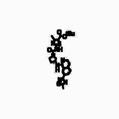 Cc1nc(-c2ccc3ccnc(N[C@@H]4CCN(C(=O)Nc5nc(C)c(C(=O)OC(C)(C)C)s5)C4)c3c2)no1